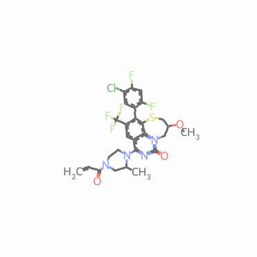 C=CC(=O)N1CCN(c2nc(=O)n3c4c(c(-c5cc(Cl)c(F)cc5F)c(C(F)(F)F)cc24)SCC(OC)C3)C(C)C1